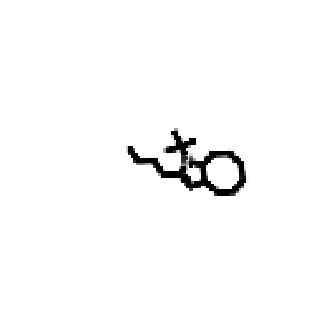 CCCCC1=CC2CCCCCCC2N1C(C)(C)C